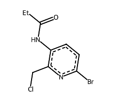 CCC(=O)Nc1ccc(Br)nc1CCl